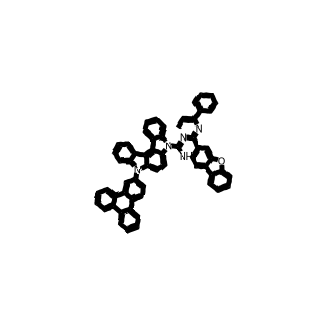 C\C=C(/N=C(\N=C(/N)n1c2ccccc2c2c3c4ccccc4n(-c4ccc5c6ccccc6c6ccccc6c5c4)c3ccc21)c1ccc2c(c1)oc1ccccc12)c1ccccc1